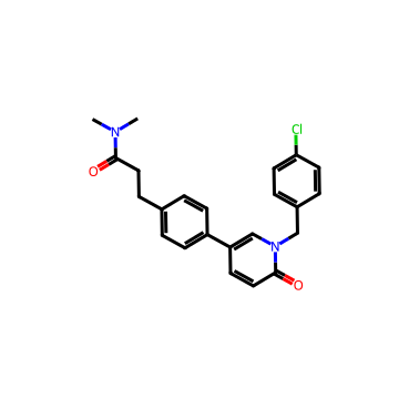 CN(C)C(=O)CCc1ccc(-c2ccc(=O)n(Cc3ccc(Cl)cc3)c2)cc1